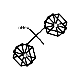 CCCCCCC(C)([C]12[CH]3[CH]4[CH]5[CH]1[Fe]45321678[CH]2[CH]1[CH]6[CH]7[CH]28)[C]12[CH]3[CH]4[CH]5[CH]1[Fe]45321678[CH]2[CH]1[CH]6[CH]7[CH]28